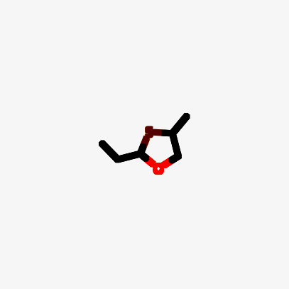 CCC1OCC(C)S1